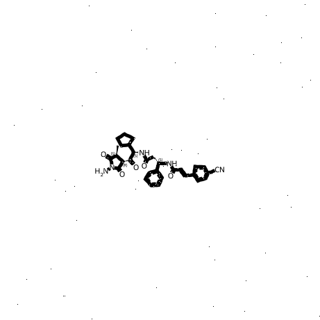 C[C@@H]1C(=O)N(N)C(=O)[C@H]1C(=O)[C@@H](NC(=O)C[C@H](NC(=O)C=Cc1ccc(C#N)cc1)c1ccccc1)C1CCCC1